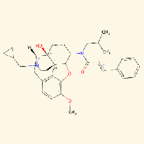 COc1ccc2c3c1OC1C(N(CC(C)C)C(=O)/C=C/c4ccccc4)CC[C@@]4(O)[C@@H](C2)N(CC2CC2)CC[C@]314